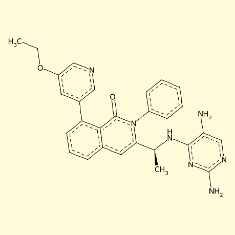 CCOc1cncc(-c2cccc3cc([C@H](C)Nc4nc(N)ncc4N)n(-c4ccccc4)c(=O)c23)c1